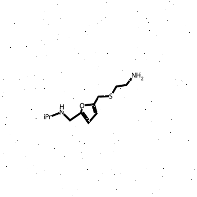 CC(C)NCc1ccc(CSCCN)o1